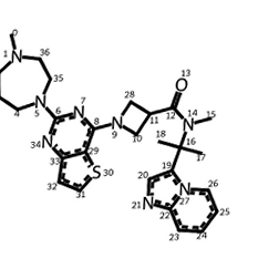 CN1CCCN(c2nc(N3CC(C(=O)N(C)C(C)(C)c4cnc5ccccn45)C3)c3sccc3n2)CC1